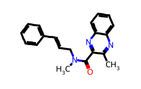 Cc1nc2ccccc2nc1C(=O)N(C)CC=Cc1ccccc1